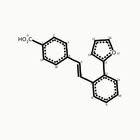 O=C(O)c1ccc(C=Cc2ccccc2-c2ccco2)cc1